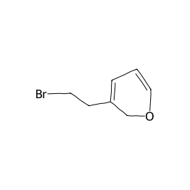 BrCCC1=CC=COC1